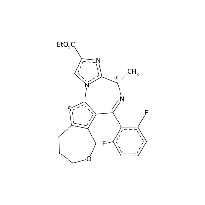 CCOC(=O)c1cn2c(n1)[C@H](C)N=C(c1c(F)cccc1F)c1c-2sc2c1COCCC2